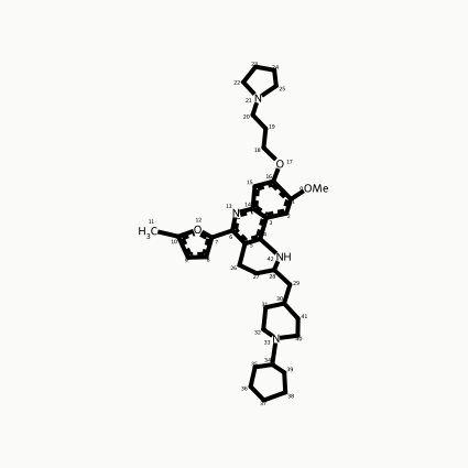 COc1cc2c3c(c(-c4ccc(C)o4)nc2cc1OCCCN1CCCC1)CCC(CC1CCN(C2CCCCC2)CC1)N3